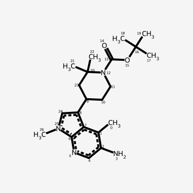 Cc1c(N)cnc2c1c(C1CCN(C(=O)OC(C)(C)C)C(C)(C)C1)cn2C